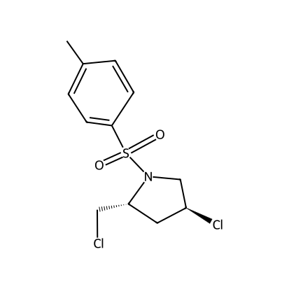 Cc1ccc(S(=O)(=O)N2C[C@@H](Cl)C[C@@H]2CCl)cc1